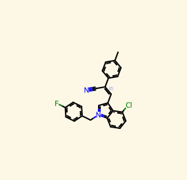 Cc1ccc(/C(C#N)=C/c2cn(Cc3ccc(F)cc3)c3cccc(Cl)c23)cc1